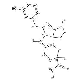 CCC1(C(=O)OC)C2=C(C=CC(C)(C(=O)OC)C2)N(C)C1CSc1cccc(O)c1